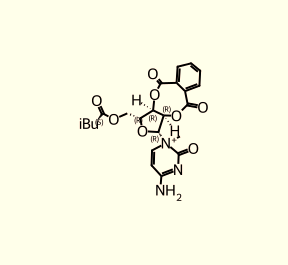 CC[C@H](C)C(=O)OC[C@H]1O[C@@H]([N+]2(C)C=CC(N)=NC2=O)[C@@H]2OC(=O)c3ccccc3C(=O)O[C@@H]21